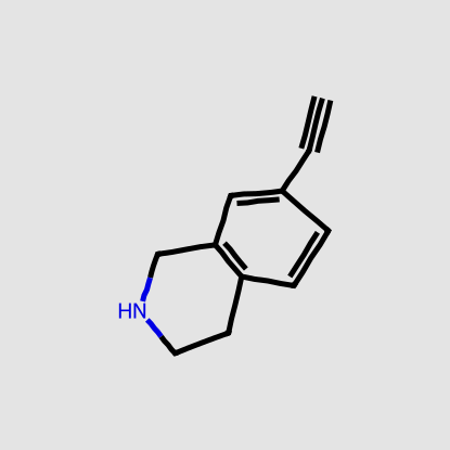 C#Cc1ccc2c(c1)CNCC2